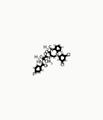 CN1C(=O)[C@@H](NC(=O)C(C)(C)NC(=O)c2ccc(F)cc2)CN(c2cc(Cl)cc(Cl)c2)c2ccccc21